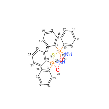 c1ccc(P2(SP3(c4ccccc4)(c4ccccc4)NO3)(c3ccccc3)NO2)cc1